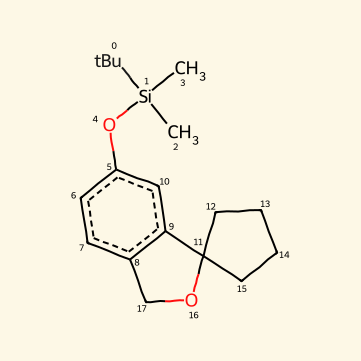 CC(C)(C)[Si](C)(C)Oc1ccc2c(c1)C1(CCCC1)OC2